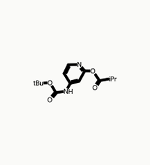 CC(C)C(=O)Oc1cc(NC(=O)OC(C)(C)C)ccn1